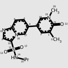 Cc1cc(-c2ccc3ncc(S(=O)(=O)NC(C)C)n3c2)cn(C)c1=O